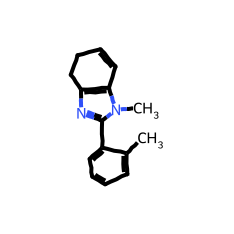 Cc1ccccc1-c1nc2c(n1C)C=CCC2